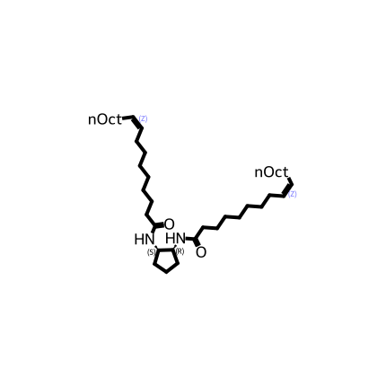 CCCCCCCC/C=C\CCCCCCCC(=O)N[C@H]1CCC[C@H]1NC(=O)CCCCCCC/C=C\CCCCCCCC